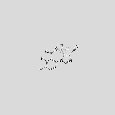 N#Cc1ncn2c1[C@@H]1CCN1C(=O)c1c-2ccc(F)c1F